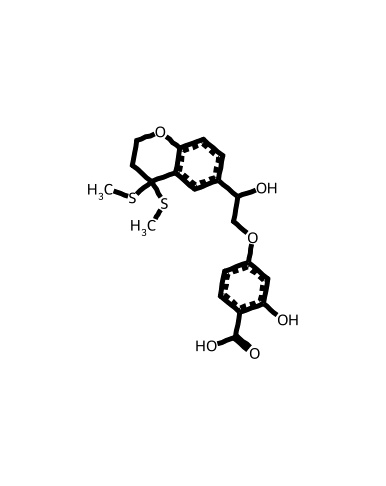 CSC1(SC)CCOc2ccc(C(O)COc3ccc(C(=O)O)c(O)c3)cc21